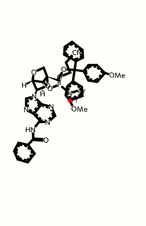 COc1ccc(C(OC[C@@]23CO[C@@H]([C@H](n4cnc5c(NC(=O)c6ccccc6)ncnc54)O2)[C@@H]3OP(OCCC#N)N(C(C)C)C(C)C)(c2ccccc2)c2ccc(OC)cc2)cc1